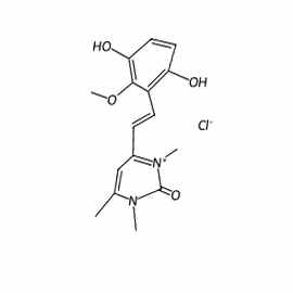 COc1c(O)ccc(O)c1C=Cc1cc(C)n(C)c(=O)[n+]1C.[Cl-]